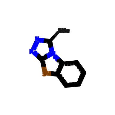 [CH2]Sc1nnc2sc3ccccc3n12